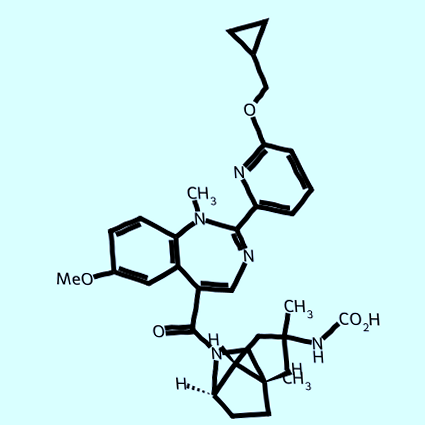 COc1ccc2c(c1)C(C(=O)N1C[C@@H]3CC[C@@H]1[C@@H]3CC(C)(C)NC(=O)O)=CN=C(c1cccc(OCC3CC3)n1)N2C